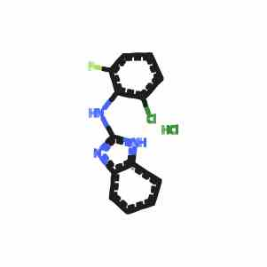 Cl.Fc1cccc(Cl)c1Nc1nc2ccccc2[nH]1